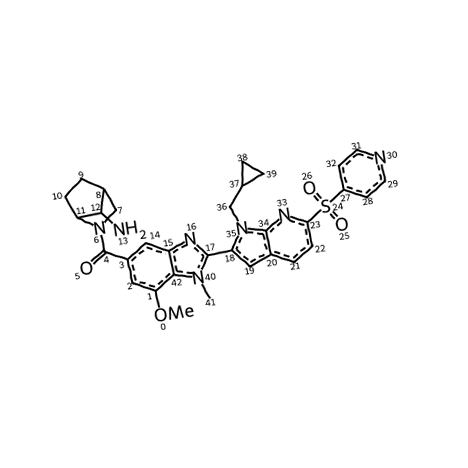 COc1cc(C(=O)N2CC3CCC2C3N)cc2nc(-c3cc4ccc(S(=O)(=O)c5ccncc5)nc4n3CC3CC3)n(C)c12